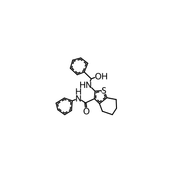 O=C(Nc1ccccc1)c1c(NC(O)c2ccccc2)sc2c1CCCC2